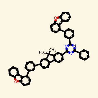 CC1(C)c2cc(-c3cccc(-c4cccc5oc6ccccc6c45)c3)ccc2-c2ccc(-c3nc(-c4ccccc4)nc(-c4cccc(-c5cccc6oc7ccccc7c56)c4)n3)cc21